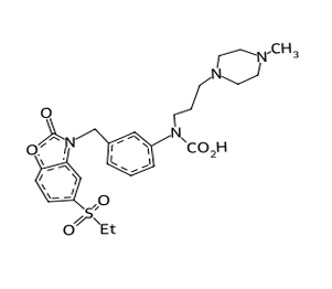 CCS(=O)(=O)c1ccc2oc(=O)n(Cc3cccc(N(CCCN4CCN(C)CC4)C(=O)O)c3)c2c1